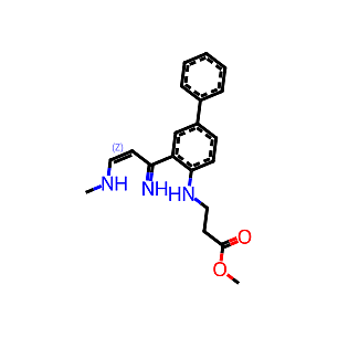 CN/C=C\C(=N)c1cc(-c2ccccc2)ccc1NCCC(=O)OC